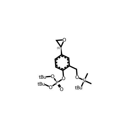 CC(C)(C)OP(=O)(Oc1ccc([C@H]2CO2)cc1CO[Si](C)(C)C(C)(C)C)OC(C)(C)C